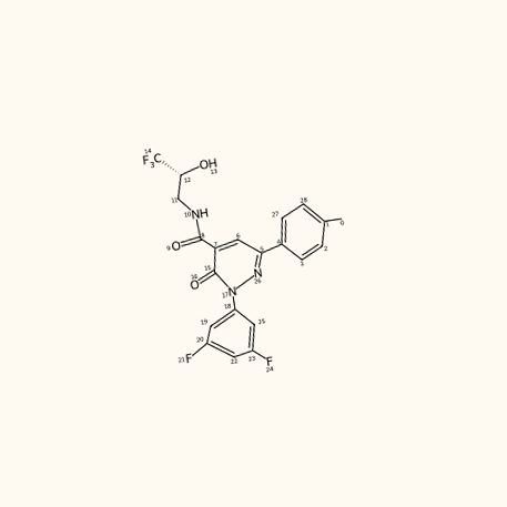 Cc1ccc(-c2cc(C(=O)NC[C@@H](O)C(F)(F)F)c(=O)n(-c3cc(F)cc(F)c3)n2)cc1